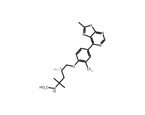 Cc1nc2c(-c3ccc(OC[C@@H](C)CC(C)(C)NC(=O)O)c(C(F)(F)F)c3)ncnc2s1